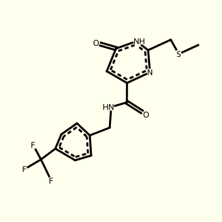 CSCc1nc(C(=O)NCc2ccc(C(F)(F)F)cc2)cc(=O)[nH]1